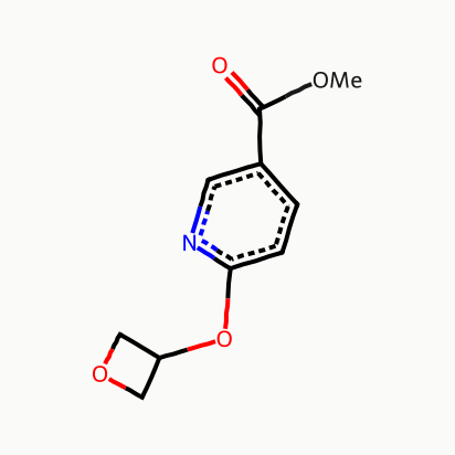 COC(=O)c1ccc(OC2COC2)nc1